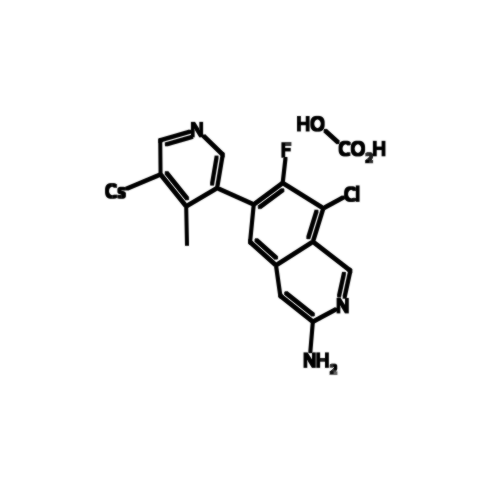 Cc1[c]([Cs])cncc1-c1cc2cc(N)ncc2c(Cl)c1F.O=C(O)O